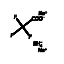 O=C([O-])C(F)(F)F.[BH4-].[Na+].[Na+]